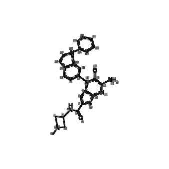 CN1CC(NC(=O)c2cc3c(nc(N)c(=O)n3-c3ccc4ccn(-c5ccccc5)c4c3)s2)C1